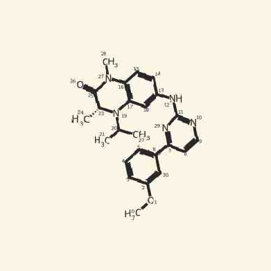 COc1cccc(-c2ccnc(Nc3ccc4c(c3)N(C(C)C)[C@H](C)C(=O)N4C)n2)c1